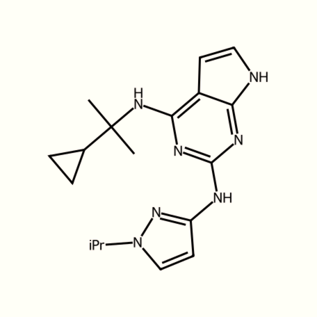 CC(C)n1ccc(Nc2nc(NC(C)(C)C3CC3)c3cc[nH]c3n2)n1